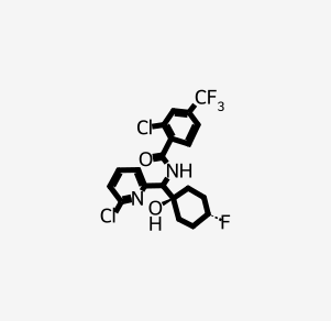 O=C(NC(c1cccc(Cl)n1)[C@]1(O)CC[C@H](F)CC1)c1ccc(C(F)(F)F)cc1Cl